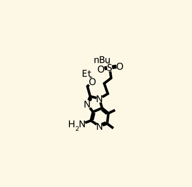 CCCCS(=O)(=O)CCCn1c(COCC)nc2c(N)nc(C)c(C)c21